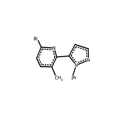 Cc1ccc(Br)nc1-c1ccnn1C(C)C